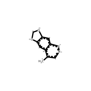 Cc1cnnc2cc3c(cc12)OCO3